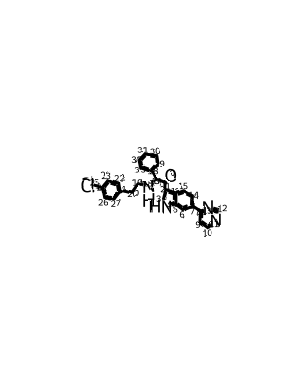 O=C(c1c[nH]c2cc(-c3ccncn3)ccc12)[C@@H](NCCc1ccc(Cl)cc1)c1ccccc1